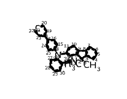 CC1(C)c2ccccc2-c2ccc(N(c3ccc(-c4ccccc4)cc3)c3ccccc3C#N)cc21